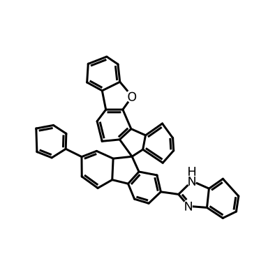 C1=CC2c3ccc(-c4nc5ccccc5[nH]4)cc3C3(c4ccccc4-c4c3ccc3c4oc4ccccc43)C2C=C1c1ccccc1